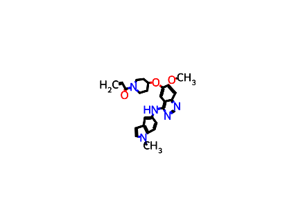 C=CC(=O)N1CCC(Oc2cc3c(Nc4ccc5c(ccn5C)c4)ncnc3cc2OC)CC1